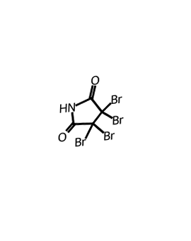 O=C1NC(=O)C(Br)(Br)C1(Br)Br